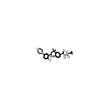 CC1(C)CC(c2cc(N3CCOCC3)ccc2Cl)Nc2ccc(C(=O)NS(=O)(=O)C3CC3)cc21